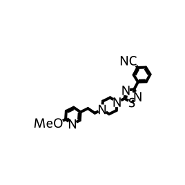 COc1ccc(CCN2CCN(c3nc(-c4cccc(C#N)c4)ns3)CC2)cn1